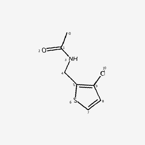 CC(=O)NCc1sccc1Cl